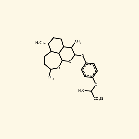 CCOC(=O)C(C)Oc1ccc(OC2OC3OC(C)CCC4C3C(CC[C@H]4C)C2C)cc1